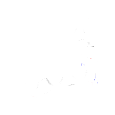 COc1cccc([C@@H](C)OC(=O)Nc2c(C)noc2-c2ccc(-c3ccc(C4(C(=O)O)CC4)cc3)cc2)c1